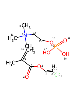 C=COC(=O)C(=C)C.C[N+](C)(C)CCOP(=O)(O)O.[Cl-]